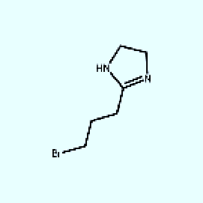 BrCCCC1=NCCN1